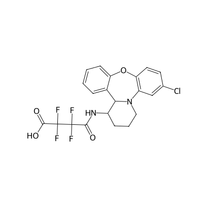 O=C(O)C(F)(F)C(F)(F)C(=O)NC1CCCN2c3cc(Cl)ccc3Oc3ccccc3C12